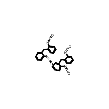 O=C=Nc1ccccc1Cc1ccccc1N=C=O.O=C=Nc1ccccc1Cc1ccccc1N=C=O